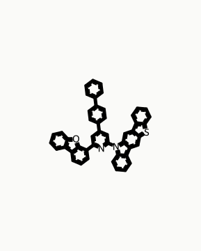 c1ccc(-c2ccc(-c3cc(-c4cccc5c4oc4ccccc45)nc(-n4c5ccccc5c5cc6sc7ccccc7c6cc54)c3)cc2)cc1